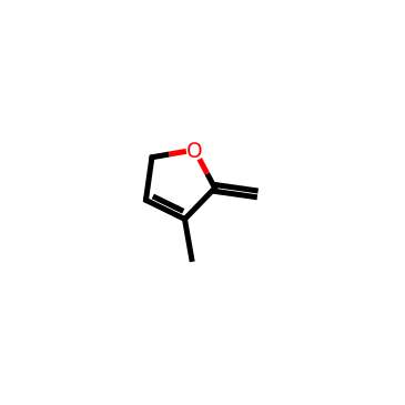 C=C1OCC=C1C